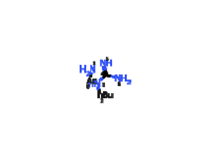 CC(N)=O.CCCCNC(=N)N